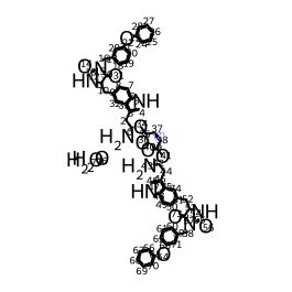 NC(Cc1c[nH]c2ccc(CC3NC(=O)N(Cc4cccc(Oc5ccccc5)c4)C3=O)cc12)OC(=O)/C=C\C(=O)OC(N)Cc1c[nH]c2ccc(CC3NC(=O)N(Cc4cccc(Oc5ccccc5)c4)C3=O)cc12.O.O